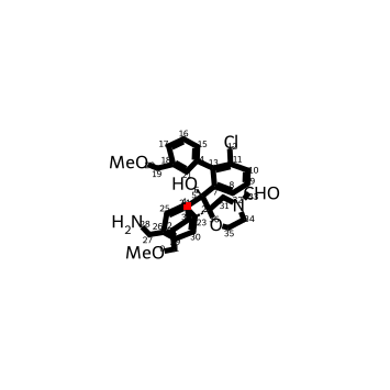 COCCCC[C@@](O)(c1cccc(Cl)c1-c1cccc(COC)c1)[C@@]1(c2ccc(CN)cc2)CN(C=O)CCO1